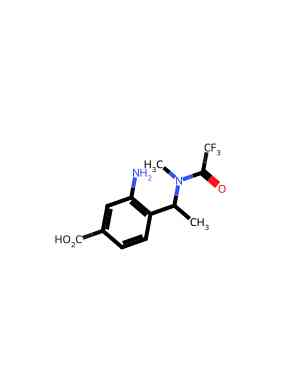 CC(c1ccc(C(=O)O)cc1N)N(C)C(=O)C(F)(F)F